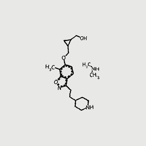 CNC.Cc1c(OCC2CC2CO)ccc2c(CCC3CCNCC3)noc12